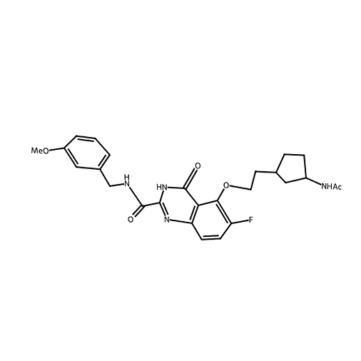 COc1cccc(CNC(=O)c2nc3ccc(F)c(OCCC4CCC(NC(C)=O)C4)c3c(=O)[nH]2)c1